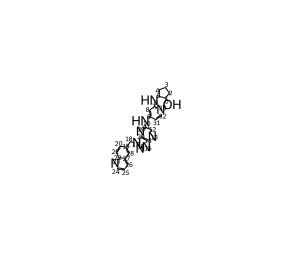 O[C@@H]1CCC[C@H]1Nc1cc(Nc2cnc3nnn(Cc4ccc5ncccc5c4)c3n2)ccn1